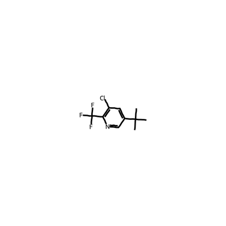 CC(C)(C)c1cnc(C(F)(F)F)c(Cl)c1